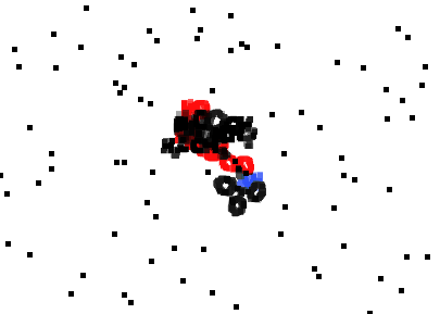 C=C[C@@]1(C)CC(=O)[C@]2(O)[C@@]3(C)[C@@H](O)CCC(C)(C)[C@@H]3[C@H](OC(=O)COC(=O)CNC(c3ccccc3)(c3ccccc3)c3ccccc3)[C@H](O)[C@@]2(C)O1